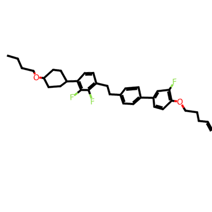 C=CCCCOc1ccc(-c2ccc(CCc3ccc(C4CCC(OCCCC)CC4)c(F)c3F)cc2)cc1F